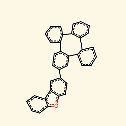 c1ccc2c(c1)-c1ccccc1-c1ccc(-c3ccc4oc5ccccc5c4c3)cc1-c1ccccc1-2